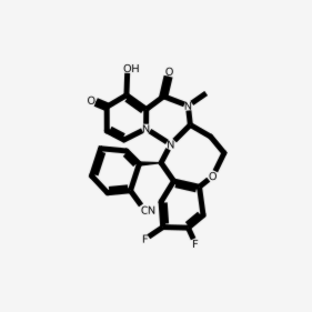 CN1C(=O)c2c(O)c(=O)ccn2N2C1CCOc1cc(F)c(F)cc1[C@H]2c1ccccc1C#N